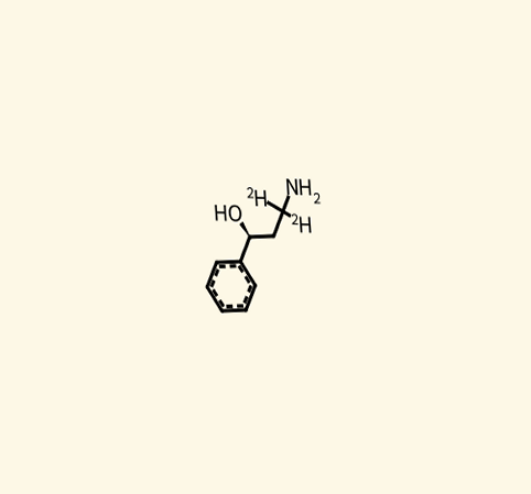 [2H]C([2H])(N)C[C@H](O)c1ccccc1